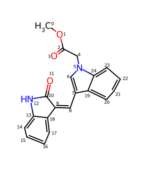 COC(=O)Cn1cc(C=C2C(=O)Nc3ccccc32)c2ccccc21